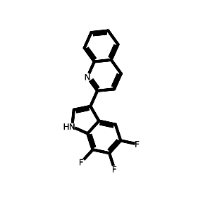 Fc1cc2c(-c3ccc4ccccc4n3)c[nH]c2c(F)c1F